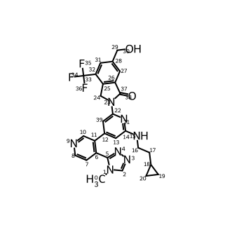 Cn1cnnc1-c1ccncc1-c1cc(NCCC2CC2)nc(N2Cc3c(cc(CO)cc3C(F)(F)F)C2=O)c1